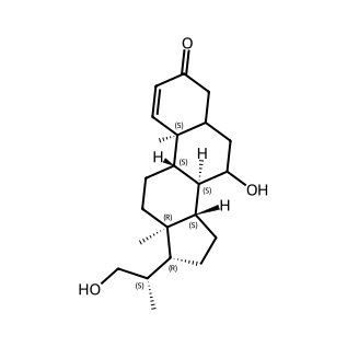 C[C@H](CO)[C@H]1CC[C@H]2[C@@H]3C(O)CC4CC(=O)C=C[C@]4(C)[C@H]3CC[C@]12C